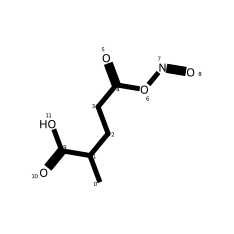 CC(CCC(=O)ON=O)C(=O)O